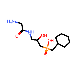 NCC(=O)NCC(O)CP(=O)(O)CC1CCCCC1